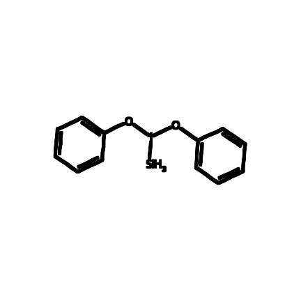 [SiH3]I(Oc1ccccc1)Oc1ccccc1